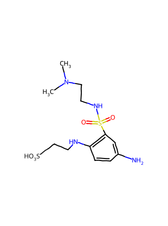 CN(C)CCNS(=O)(=O)c1cc(N)ccc1NCCS(=O)(=O)O